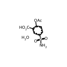 CC(=O)Oc1ccc(S(N)(=O)=O)cc1C(=O)O.O